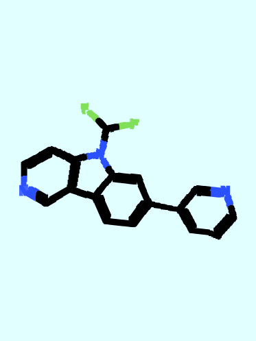 FC(F)n1c2ccncc2c2ccc(-c3cccnc3)cc21